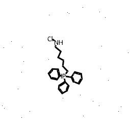 ClNCCCCCC[PH](c1ccccc1)(c1ccccc1)c1ccccc1